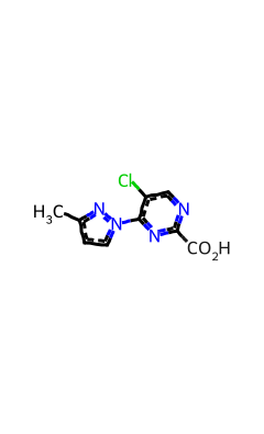 Cc1ccn(-c2nc(C(=O)O)ncc2Cl)n1